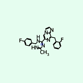 CC(=N)/N=C(\NCc1ccc(F)cc1)c1cn2ccnc2c(Cc2ccccc2F)n1